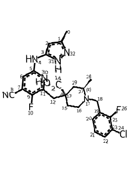 Cc1cc(Nc2cc(C#N)c(F)c(C[C@@]3(C(=O)O)CCN(Cc4cccc(Cl)c4F)[C@H](C)C3)n2)[nH]n1